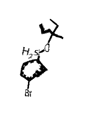 CCC(C)(CC)O[SiH2]c1ccc(Br)cc1